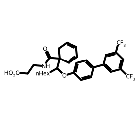 CCCCCCC(Oc1ccc(-c2cc(C(F)(F)F)cc(C(F)(F)F)c2)cc1)C1(C(=O)NCCC(=O)O)C=CC=CC1